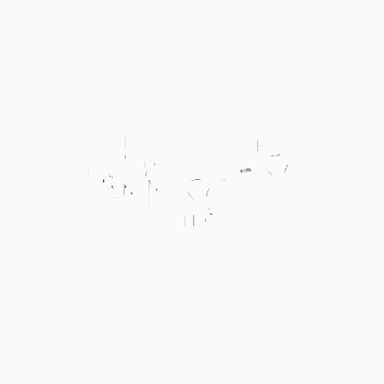 COc1cc(CCNC(=O)[C@@H](N[S+]([O-])C2CCCCC2)C(C)C)ccc1OCC#Cc1ccccc1F